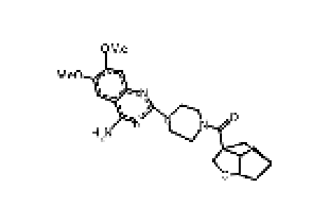 COc1cc2nc(N3CCN(C(=O)C45COC6CC(CC64)C5)CC3)nc(N)c2cc1OC